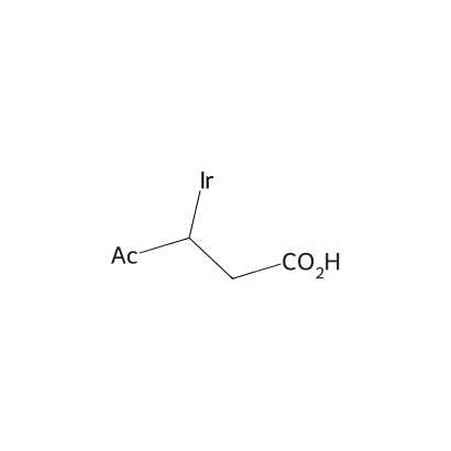 CC(=O)[CH]([Ir])CC(=O)O